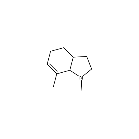 CC1=CCCC2CCN(C)C12